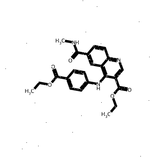 CCOC(=O)c1ccc(Nc2c(C(=O)OCC)cnc3ccc(C(=O)NC)cc23)cc1